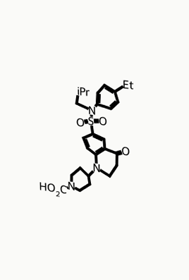 CCc1ccc(N(CC(C)C)S(=O)(=O)c2ccc3c(c2)C(=O)CCN3C2CCN(C(=O)O)CC2)cc1